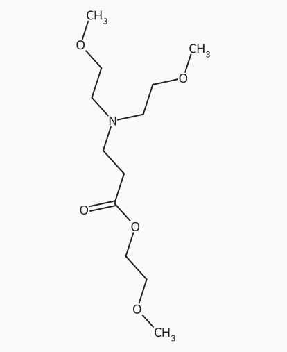 COCCOC(=O)CCN(CCOC)CCOC